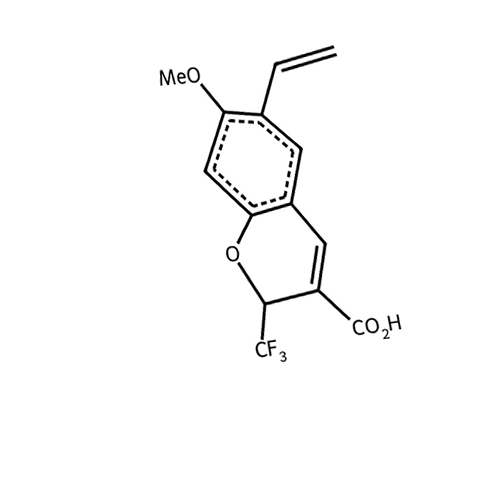 C=Cc1cc2c(cc1OC)OC(C(F)(F)F)C(C(=O)O)=C2